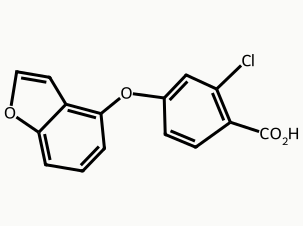 O=C(O)c1ccc(Oc2cccc3occc23)cc1Cl